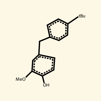 COc1cc(Cc2ccc(C(C)(C)C)cc2)ccc1O